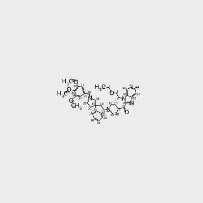 CCOCCn1c(C(=O)C2CCN(CCC3(c4ccccc4)CCN(Cc4cc(OC)c(OC)c(OC)c4)C3)CC2)nc2ccccc21